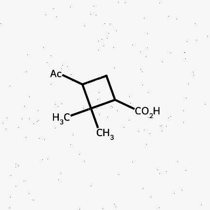 CC(=O)C1CC(C(=O)O)C1(C)C